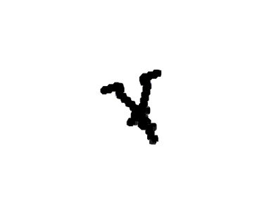 CCCCC/C=C\C/C=C\CCCCCCCC(=O)N(C(=O)CCCCCCC/C=C\C/C=C\CCCCC)c1sc2c(c1C(=O)OCC)CCN(C(=O)CCCN(C)C)C2